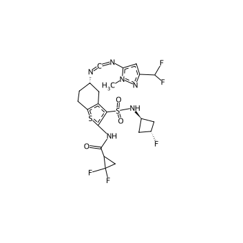 Cn1nc(C(F)F)cc1N=C=N[C@H]1CCc2sc(NC(=O)C3CC3(F)F)c(S(=O)(=O)N[C@H]3C[C@H](F)C3)c2C1